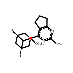 CCOC(=O)CC1[C@@H]2C[C@H]1CN(c1nc(SC)nc3c1CCC3)C2